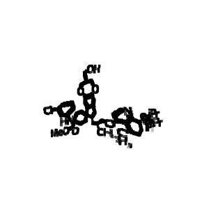 COC(=O)C1(Nc2cccc(Cl)c2)CCC2(CC1)c1cc3c(cc1C[C@@H]2C[C@@H](C)COc1ccnc2c1[C@H](C)CC[C@@H]2O[Si](C(C)C)(C(C)C)C(C)C)OCC(CO)CO3